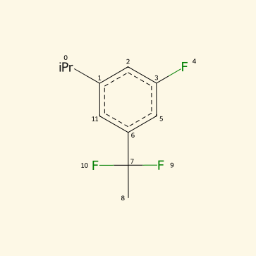 CC(C)c1cc(F)cc(C(C)(F)F)c1